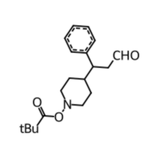 CC(C)(C)C(=O)ON1CCC(C(CC=O)c2ccccc2)CC1